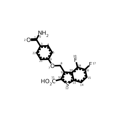 NC(=O)c1ccc(OCc2c(C(=O)O)sc3ccc(F)c(F)c23)cc1